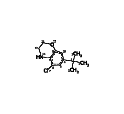 CC(C)(C)c1cc(Cl)c2c(c1)OCCN2